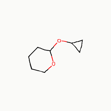 C1CCC(OC2CC2)OC1